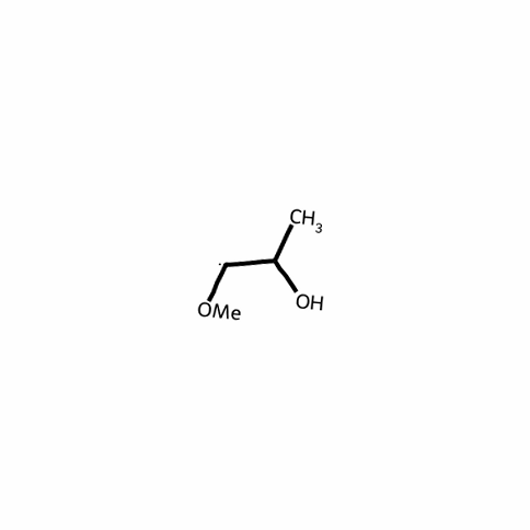 CO[CH]C(C)O